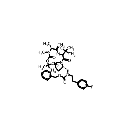 C[C@@H](C(=O)N[C@H](C(=O)N1CCC[C@H]1CN(CCc1ccc(F)cc1)C(=O)OCc1ccccc1)C(C)(C)C)N(C)C(=O)OC(C)(C)C